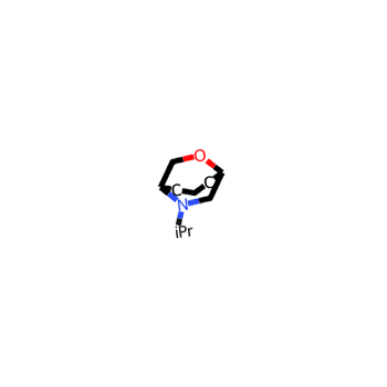 CC(C)N1CC2CCCC1CO2